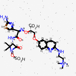 CC1(C)[C@H](NC(=O)/C(=N\O[C@@H](COc2ccc3nc(NCC[N+](C)(C)C)ccc3c2)C(=O)O)c2csc(N)n2)C(=O)N1OS(=O)(=O)O